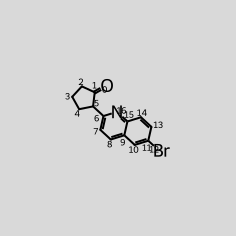 O=C1CCCC1c1ccc2cc(Br)ccc2n1